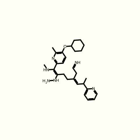 CN/C(=C(/CC/C(=C/C(C)c1ccccn1)CC=N)NN)c1ccc(OC2CCCCC2)c(C)n1